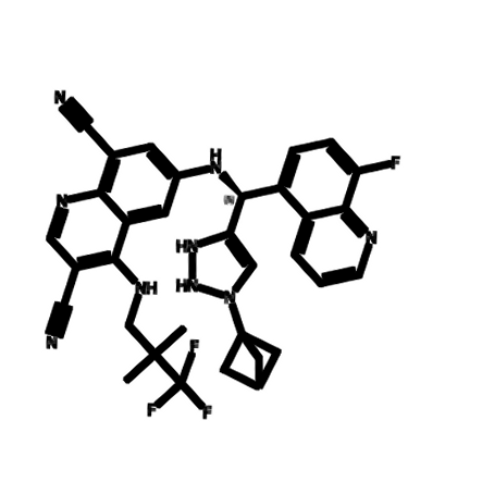 CC(C)(CNc1c(C#N)cnc2c(C#N)cc(N[C@H](C3=CN(C45CC(C4)C5)NN3)c3ccc(F)c4ncccc34)cc12)C(F)(F)F